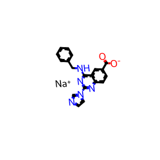 O=C([O-])c1ccc2nc(-n3ccnc3)nc(NCc3ccccc3)c2c1.[Na+]